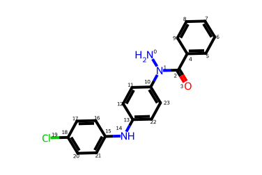 NN(C(=O)c1ccccc1)c1ccc(Nc2ccc(Cl)cc2)cc1